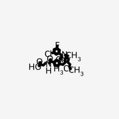 CC(C)CCCC1(C)N=C(c2cc(F)cc(Cl)c2)C(=O)N1CCc1ccc(C(=O)NCCC(=O)O)cc1